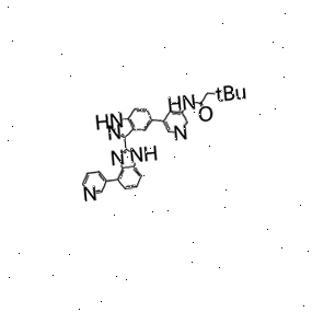 CC(C)(C)CC(=O)Nc1cncc(-c2ccc3[nH]nc(-c4nc5c(-c6cccnc6)cccc5[nH]4)c3c2)c1